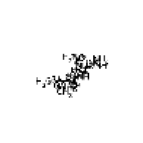 CSCCC(NC(C)=O)C(=O)N1CCCC1C(=O)NC(CCCNC(=N)N)C(=O)NCC(N)=O